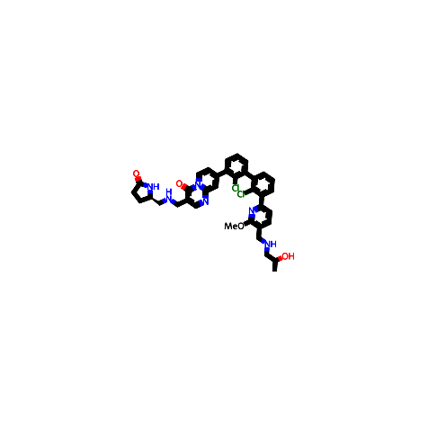 COc1nc(-c2cccc(-c3cccc(-c4ccn5c(=O)c(CNC[C@H]6CCC(=O)N6)cnc5c4)c3Cl)c2Cl)ccc1CNCC(C)O